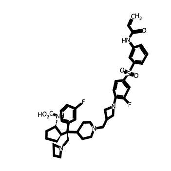 C=CC(=O)Nc1cccc(S(=O)(=O)c2ccc(N3CC(CN4CCC([C@@](CN5CCC5)(c5cccc(F)c5)[C@H]5CCC[C@@H]5NC(=O)O)CC4)C3)c(F)c2)c1